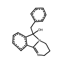 OC1(Cc2ccccc2)c2ccccc2C2=NCCCN21